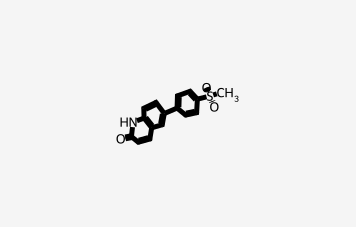 CS(=O)(=O)c1ccc(-c2ccc3[nH]c(=O)ccc3c2)cc1